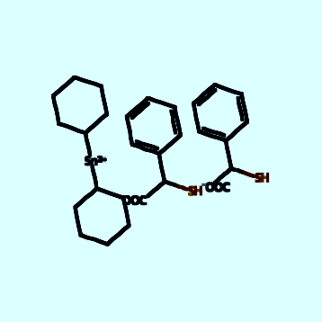 C1CC[CH]([Sn+2][CH]2CCCCC2)CC1.O=C([O-])C(S)c1ccccc1.O=C([O-])C(S)c1ccccc1